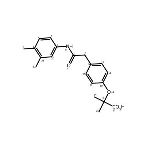 Cc1ccc(NC(=O)Cc2ccc(OC(C)(C)C(=O)O)cc2)cc1C